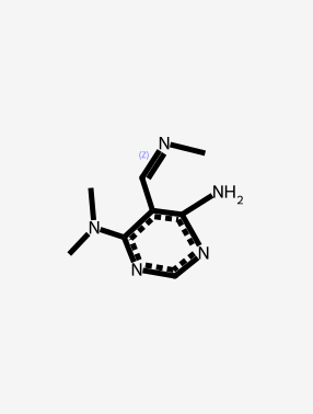 C/N=C\c1c(N)ncnc1N(C)C